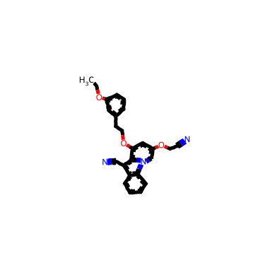 CCOc1cccc(CCOc2cc(OCC#N)cn3c2c(C#N)c2ccccc23)c1